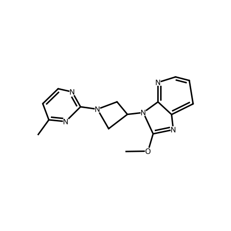 COc1nc2cccnc2n1C1CN(c2nccc(C)n2)C1